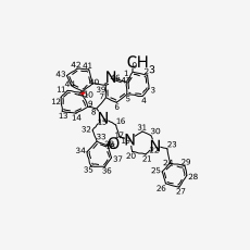 Cc1cccc2cc(C(c3ccccc3)N(CC(=O)N3CCN(Cc4ccccc4)CC3)Cc3ccccc3)c(-c3ccccc3)nc12